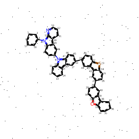 c1ccc(-n2c3ccc(-n4c5ccccc5c5cc(-c6ccc7sc8ccc(-c9ccc%10oc%11ccccc%11c%10c9)cc8c7c6)ccc54)cc3c3cccnc32)cc1